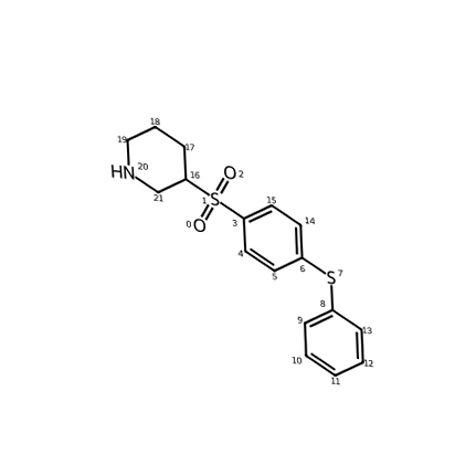 O=S(=O)(c1ccc(Sc2ccccc2)cc1)C1CCCNC1